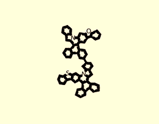 c1ccc2c(c1)cc1c3c4ccccc4c4cc(-c5ccc6cc7c8c9ccccc9c9ccccc9c8c8cc9c(cc8n7c6c5)sc5ccccc59)ccc4c3c3cc4c(cc3n21)oc1ccccc14